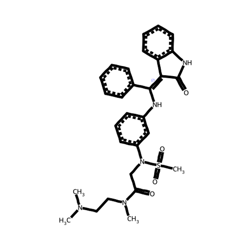 CN(C)CCN(C)C(=O)CN(c1cccc(N/C(=C2\C(=O)Nc3ccccc32)c2ccccc2)c1)S(C)(=O)=O